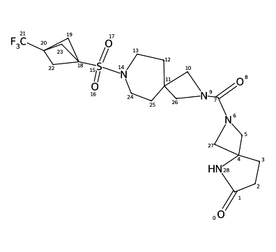 O=C1CCC2(CN(C(=O)N3CC4(CCN(S(=O)(=O)C56CC(C(F)(F)F)(C5)C6)CC4)C3)C2)N1